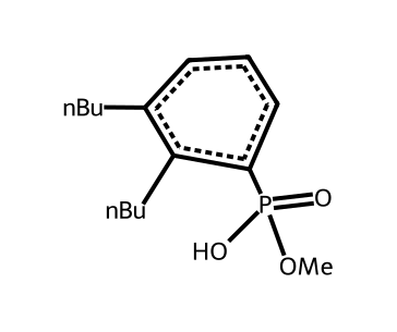 CCCCc1cccc(P(=O)(O)OC)c1CCCC